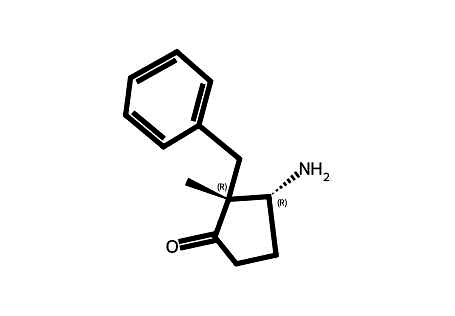 C[C@]1(Cc2ccccc2)C(=O)CC[C@H]1N